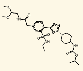 CCNS(=O)(=O)c1cc(CC(=O)NCC(OC)OC)ccc1-c1cnc([C@H]2CC[C@H](NC(=O)OC(C)C)CC2)s1